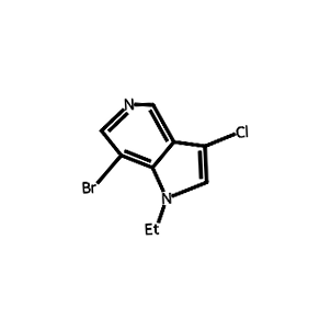 CCn1cc(Cl)c2cncc(Br)c21